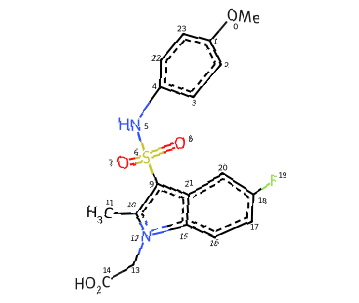 COc1ccc(NS(=O)(=O)c2c(C)n(CC(=O)O)c3ccc(F)cc23)cc1